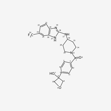 O=C(c1ccc(C2(O)COC2)cc1)N1CCC(Nc2nc3ccc(C(F)(F)F)cc3[nH]2)CC1